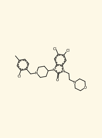 Cc1ccc(CN2CCC(n3c(=O)n(CCN4CCOCC4)c4cc(Cl)c(Cl)cc43)CC2)c(Cl)c1